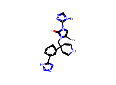 CCCc1cn(-c2nncn2CC)c(=O)n1CC1(c2cccc(-c3nnn[nH]3)c2)C=CNC=C1